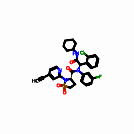 C#Cc1ccnc(N2[C@H](C(=O)N(c3cccc(F)c3)[C@@H](C(=O)NC3CCCCC3)c3ccccc3Cl)CCS2(=O)=O)c1